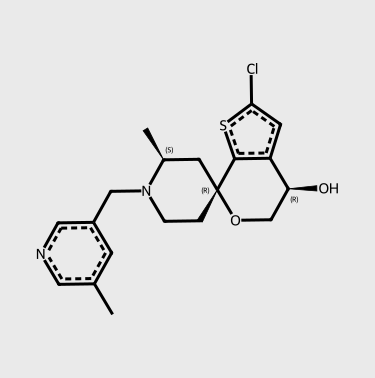 Cc1cncc(CN2CC[C@]3(C[C@@H]2C)OC[C@H](O)c2cc(Cl)sc23)c1